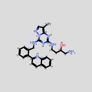 CC(C)c1cnn2c(NCc3ccccc3-c3ccc4ccccc4n3)nc(NCCC(O)CN)nc12